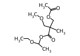 CCOC(C)OC(=O)C(C)(COC)COC(C)=O